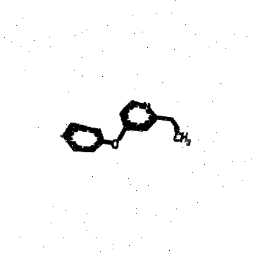 CCc1cc(Oc2cc[c]cc2)ccn1